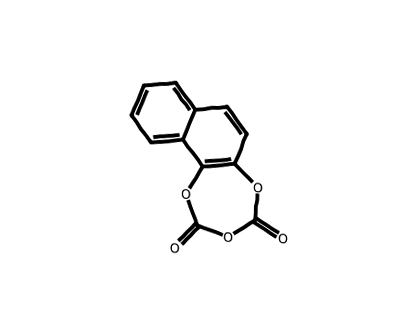 O=C1OC(=O)Oc2c(ccc3ccccc23)O1